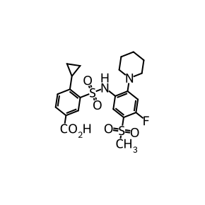 CS(=O)(=O)c1cc(NS(=O)(=O)c2cc(C(=O)O)ccc2C2CC2)c(N2CCCCC2)cc1F